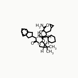 CC1(C)[C@H]2[C@@H](C(=O)NC(CC3CC3)C(=O)C(N)=O)N(C(=O)[C@@H](NC(=O)CC3CCCCC3)C3Cc4ccccc4C3)C[C@H]21